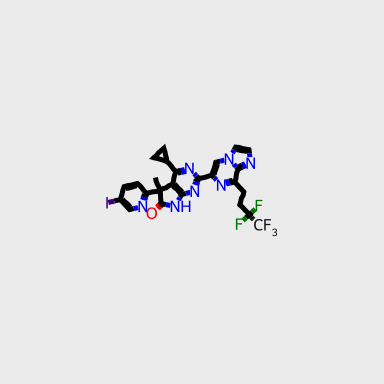 CC1(c2ccc(I)cn2)C(=O)Nc2nc(-c3cn4ccnc4c(CCC(F)(F)C(F)(F)F)n3)nc(C3CC3)c21